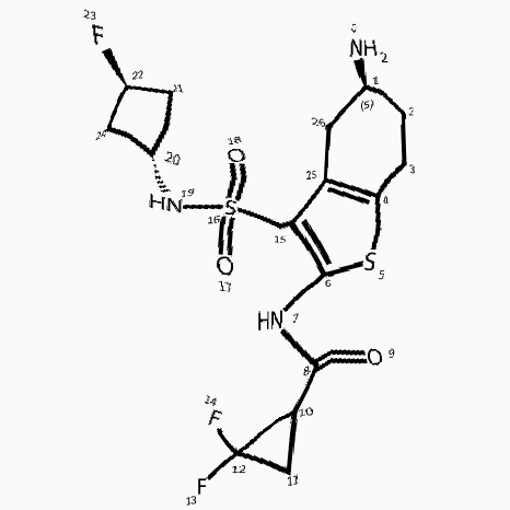 N[C@H]1CCc2sc(NC(=O)C3CC3(F)F)c(S(=O)(=O)N[C@H]3C[C@H](F)C3)c2C1